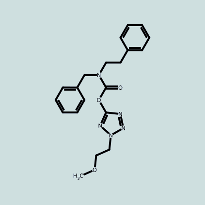 COCCn1nnc(OC(=O)N(CCc2ccccc2)Cc2ccccc2)n1